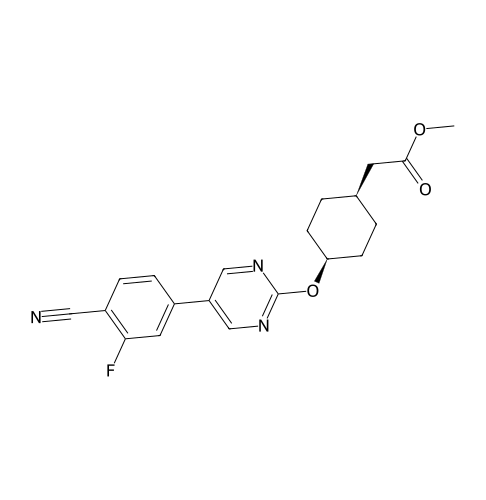 COC(=O)C[C@H]1CC[C@@H](Oc2ncc(-c3ccc(C#N)c(F)c3)cn2)CC1